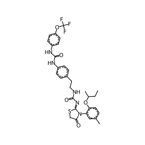 CCC(C)Oc1ccc(C)cc1N1C(=O)CSC1=NC(=O)NCCc1ccc(NC(=O)Nc2ccc(OC(F)(F)F)cc2)cc1